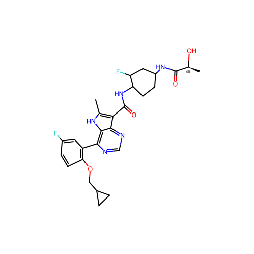 Cc1[nH]c2c(-c3cc(F)ccc3OCC3CC3)ncnc2c1C(=O)NC1CCC(NC(=O)[C@H](C)O)CC1F